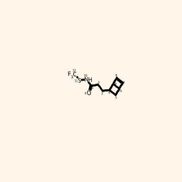 O=C(CCC1CC2C=CC21)NSC(F)(F)F